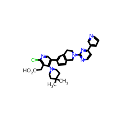 CC1(C)CCN(c2c(-c3ccc4c(c3)CCN(c3nccc(-c5cccnc5)n3)C4)cnc(Cl)c2CC(=O)O)CC1